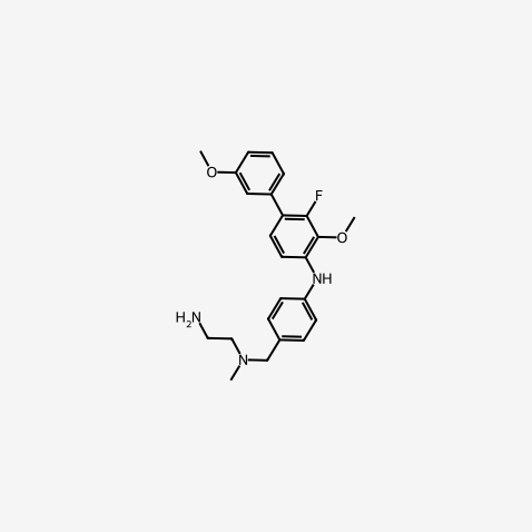 COc1cccc(-c2ccc(Nc3ccc(CN(C)CCN)cc3)c(OC)c2F)c1